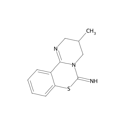 CC1CN=C2c3ccccc3SC(=N)N2C1